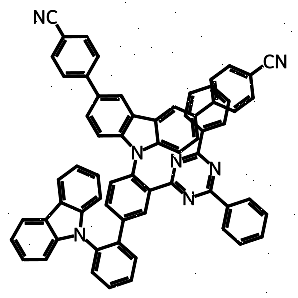 N#Cc1ccc(-c2ccc3c(c2)c2cc(-c4ccc(C#N)cc4)ccc2n3-c2ccc(-c3ccccc3-n3c4ccccc4c4ccccc43)cc2-c2nc(-c3ccccc3)nc(-c3ccccc3)n2)cc1